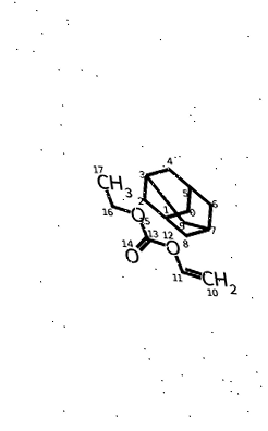 C1C2CC3CC1CC(C2)C3.C=COC(=O)OCC